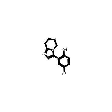 Oc1ccc(Cl)cc1-c1cnc2n1CCCC2